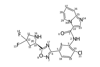 O=C(Nc1cc(-c2noc([C@H]3CC(F)(F)CN3)n2)ccc1Cl)c1cnc2ccccn12